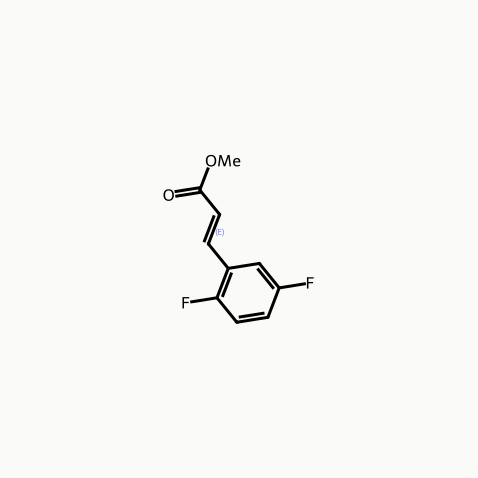 COC(=O)/C=C/c1cc(F)ccc1F